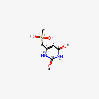 CS(=O)(=O)Cc1cc(=O)[nH]c(=O)[nH]1